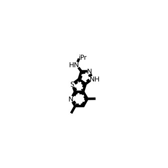 Cc1cc(C)c2c(n1)sc1c(NC(C)C)n[nH]c12